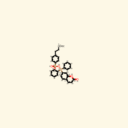 CCCCCCCCCCCCc1ccc(S(=O)(=O)OS(c2ccccc2)(c2ccccc2)c2ccc3ccc(=O)oc3c2)cc1